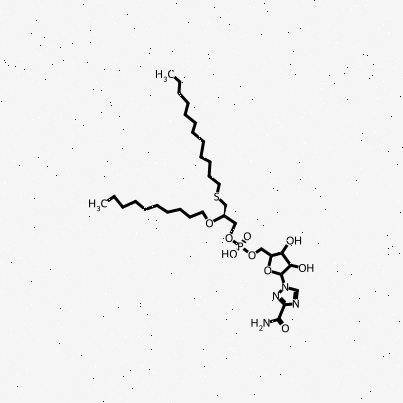 CCCCCCCCCCCCSC[C@@H](COP(=O)(O)OCC1OC(n2cnc(C(N)=O)n2)C(O)C1O)OCCCCCCCCCC